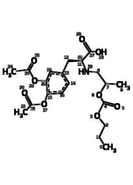 CCCOC(=O)OC(C)CN[C@@H](Cc1ccc(OC(C)=O)c(OC(C)=O)c1)C(=O)O